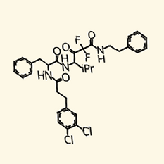 CC(C)C(NC(=O)C(Cc1ccccc1)NC(=O)CCc1ccc(Cl)c(Cl)c1)C(=O)C(F)(F)C(=O)NCCc1ccccc1